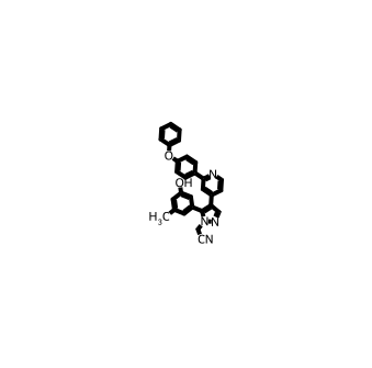 Cc1cc(O)cc(-c2c(-c3ccnc(-c4ccc(Oc5ccccc5)cc4)c3)cnn2CC#N)c1